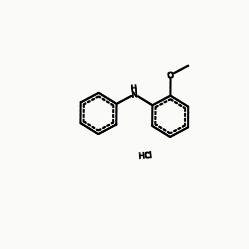 COc1ccccc1Nc1ccccc1.Cl